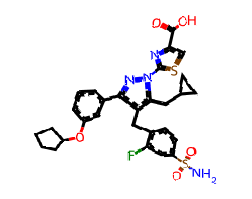 NS(=O)(=O)c1ccc(Cc2c(-c3cccc(OC4CCCC4)c3)nn(-c3nc(C(=O)O)cs3)c2CC2CC2)c(F)c1